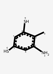 Cc1c(N)cc(S)cc1S